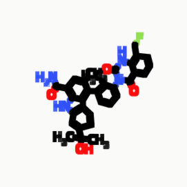 Cc1cc(C(N)=O)c2[nH]c3cc(C(C)(C)O)ccc3c2c1-c1cccc(-n2c(=O)[nH]c3c(CF)cccc3c2=O)c1C